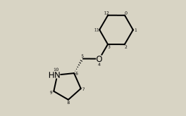 C1CCC(OC[C@@H]2CCCN2)CC1